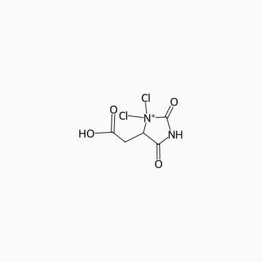 O=C(O)CC1C(=O)NC(=O)[N+]1(Cl)Cl